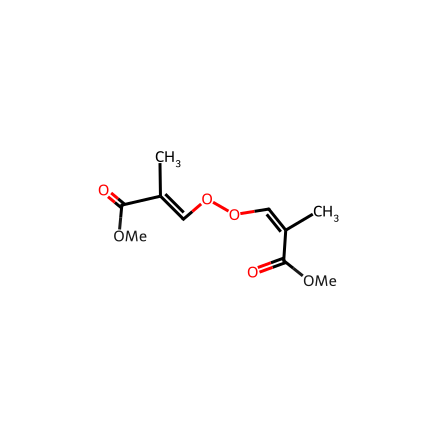 COC(=O)C(C)=COOC=C(C)C(=O)OC